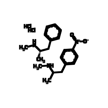 CNC(C)Cc1ccc([N+](=O)[O-])cc1.CN[C@@H](C)Cc1ccccc1.Cl.Cl